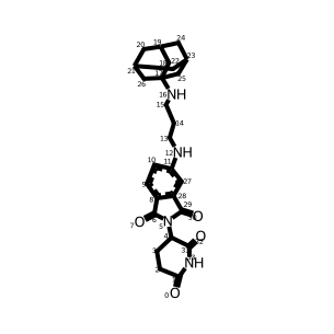 O=C1CCC(N2C(=O)c3ccc(NCCCNC45CC6CC(CC(C6)C4)C5)cc3C2=O)C(=O)N1